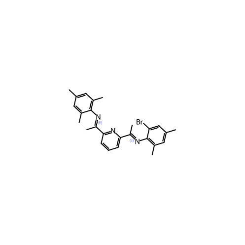 C/C(=N\c1c(C)cc(C)cc1C)c1cccc(/C(C)=N/c2c(C)cc(C)cc2Br)n1